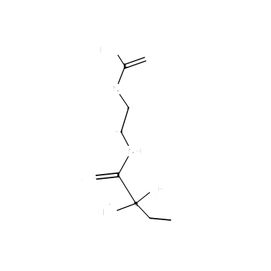 CCC(C)(C)C(=O)NCCNC(C)=O